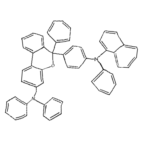 c1ccc(N(c2ccccc2)c2ccc3c(c2)OC(c2ccccc2)(c2ccc(N(c4ccccc4)c4cccc5ccccc45)cc2)c2ccccc2-3)cc1